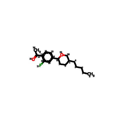 CCCCCC1CCC(c2ccc(C(C)=O)c(F)c2)OC1